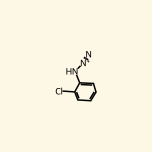 N#[N+]Nc1ccccc1Cl